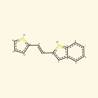 C(=Cc1cc2ccccc2s1)c1cccs1